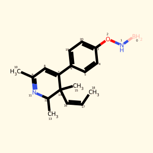 BNOc1ccc(C2=CC(C)=NC(C)C2(C)/C=C\C)cc1